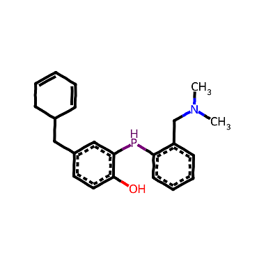 CN(C)Cc1ccccc1Pc1cc(CC2C=CC=CC2)ccc1O